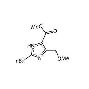 CCCCc1nc(COC)c(C(=O)OC)[nH]1